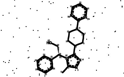 Cc1nnc(C2CCN(c3ncccn3)CC2)n1[C@@H](CO)c1ccccc1